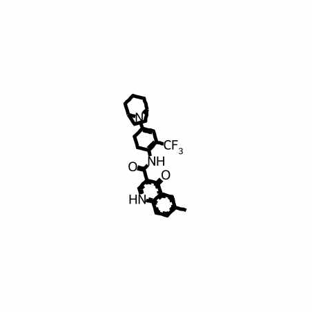 Cc1ccc2[nH]cc(C(=O)NC3=C(C(F)(F)F)C=C(N4C5CCCC4CC5)CC3)c(=O)c2c1